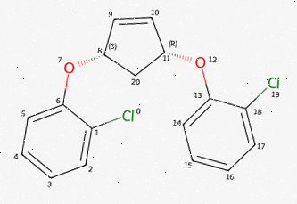 Clc1ccccc1O[C@@H]1C=C[C@H](Oc2ccccc2Cl)C1